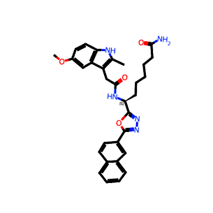 COc1ccc2[nH]c(C)c(CC(=O)N[C@@H](CCCCCC(N)=O)c3nnc(-c4ccc5ccccc5c4)o3)c2c1